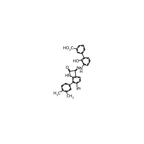 Cc1ccc(-c2c(C(C)C)ccc3c2NC(=O)C3=NNc2cccc(-c3cccc(C(=O)O)c3)c2O)cc1C